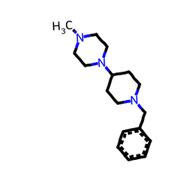 CN1CCN(C2CCN(Cc3ccccc3)CC2)CC1